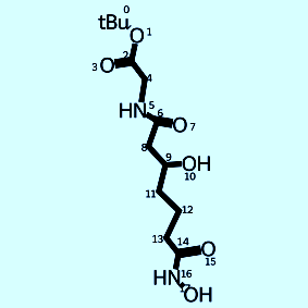 CC(C)(C)OC(=O)CNC(=O)CC(O)CCCC(=O)NO